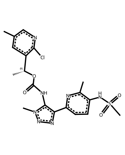 Cc1cnc(Cl)c([C@@H](C)OC(=O)Nc2c(-c3ccc(NS(C)(=O)=O)c(C)n3)nnn2C)c1